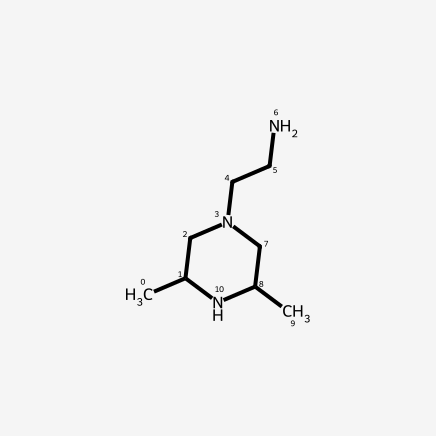 CC1CN(CCN)CC(C)N1